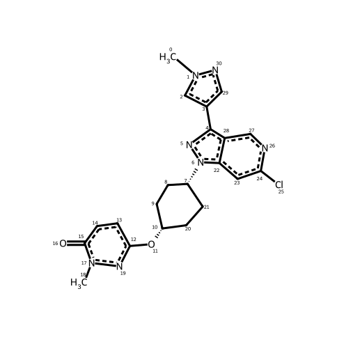 Cn1cc(-c2nn([C@H]3CC[C@@H](Oc4ccc(=O)n(C)n4)CC3)c3cc(Cl)ncc23)cn1